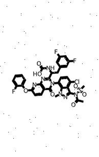 CC(=O)N(c1nn(C)c2c(-n3c(C(Cc4cc(F)cc(F)c4)NC(=O)O)nc4nc(Oc5ccccc5F)ccc4c3=O)ccc(Cl)c12)S(C)(=O)=O